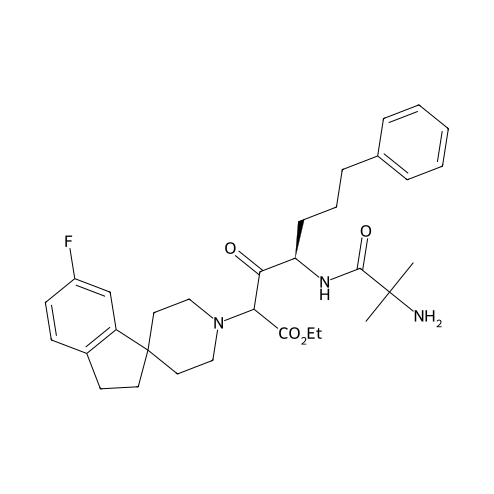 CCOC(=O)C(C(=O)[C@@H](CCCc1ccccc1)NC(=O)C(C)(C)N)N1CCC2(CCc3ccc(F)cc32)CC1